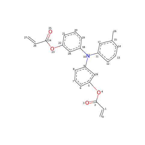 C=CC(=O)Oc1cccc(N(c2cccc(C)c2)c2cccc(OC(=O)C=C)c2)c1